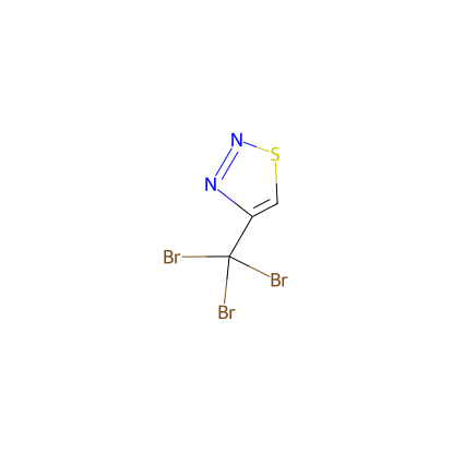 BrC(Br)(Br)c1csnn1